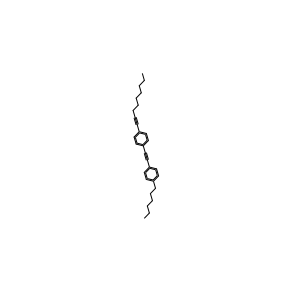 CCCCCCCC#Cc1ccc(C#Cc2ccc(CCCCCC)cc2)cc1